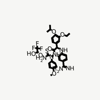 CCOc1cc(C(Nc2ccc(C(=N)N)cc2)C(=O)NN(C(N)=S)c2ccc(OC)cc2)ccc1OC(C)C.O=C(O)C(F)(F)F